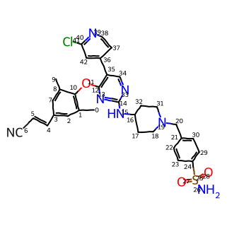 Cc1cc(C=CC#N)cc(C)c1Oc1nc(NC2CCN(Cc3ccc(S(N)(=O)=O)cc3)CC2)ncc1-c1ccnc(Cl)c1